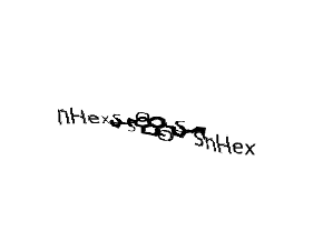 CCCCCCc1ccc(-c2cc3c(s2)-c2ccc4c5c(ccc(c25)O3)-c2sc(-c3ccc(CCCCCC)s3)cc2O4)s1